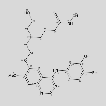 COc1cc2ncnc(Nc3ccc(F)c(Cl)c3)c2cc1OCCN(CCO)CCCC(=O)NO